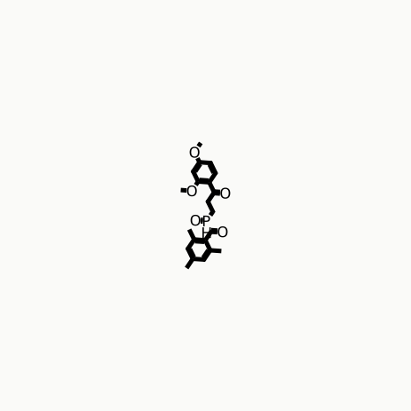 COc1ccc(C(=O)CC[PH](=O)C(=O)c2c(C)cc(C)cc2C)c(OC)c1